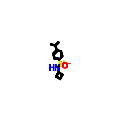 CC(C)c1ccc([S+]([O-])NC2CCC2)cc1